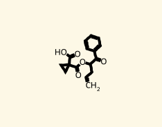 C=CCC(OC(=O)C1(C(=O)O)CC1)C(=O)c1ccccc1